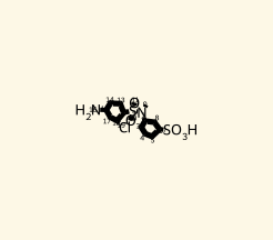 CN(c1cccc(S(=O)(=O)O)c1)S(=O)(=O)c1ccc(N)cc1Cl